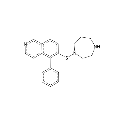 c1ccc(-c2c(SN3CCCNCC3)ccc3cnccc23)cc1